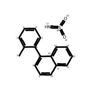 Cc1ccccc1-c1cccc2ccccc12.N=S(=O)=O